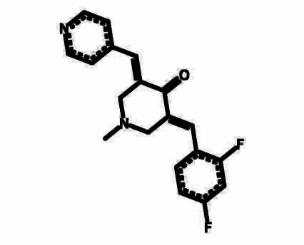 CN1C/C(=C\c2ccncc2)C(=O)/C(=C/c2ccc(F)cc2F)C1